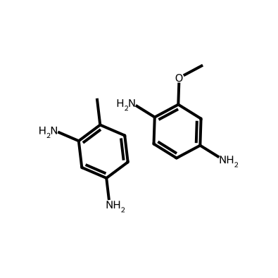 COc1cc(N)ccc1N.Cc1ccc(N)cc1N